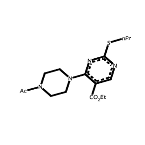 CCCSc1ncc(C(=O)OCC)c(N2CCN(C(C)=O)CC2)n1